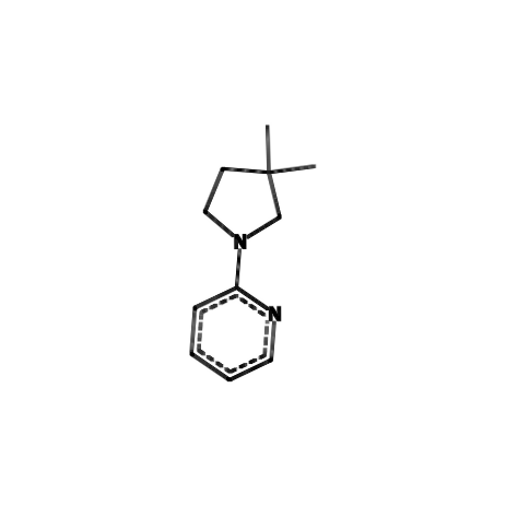 CC1(C)CCN(c2ccccn2)C1